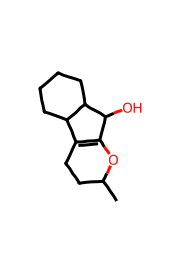 CC1CCC2=C(O1)C(O)C1CCCCC21